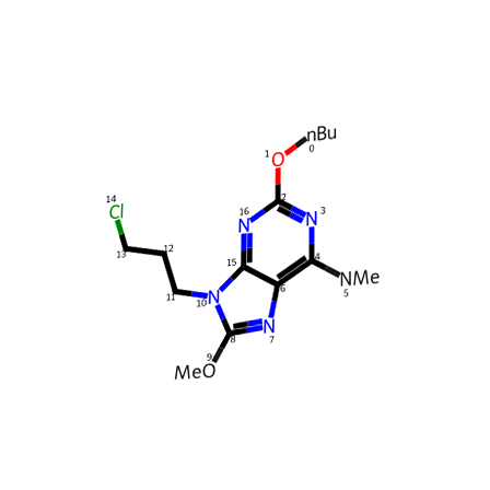 CCCCOc1nc(NC)c2nc(OC)n(CCCCl)c2n1